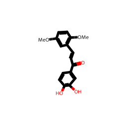 COc1ccc(OC)c(/C=C/C(=O)c2ccc(O)c(O)c2)c1